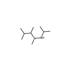 CC(C)NN(C)C(C)C(C)C